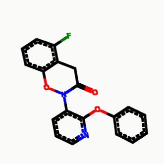 O=C1Cc2c(F)cccc2ON1c1cccnc1Oc1ccccc1